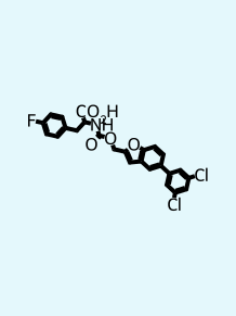 O=C(NC(Cc1ccc(F)cc1)C(=O)O)OCc1cc2cc(-c3cc(Cl)cc(Cl)c3)ccc2o1